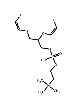 C[N+](C)(C)CCOP(=O)(O)OCC(CO/C=C\F)O/C=C\F